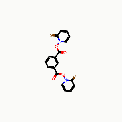 O=C(On1ccccc1=S)c1cccc(C(=O)On2ccccc2=S)c1